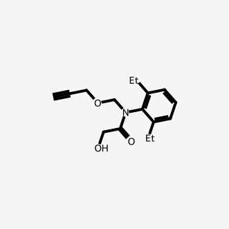 C#CCOCN(C(=O)CO)c1c(CC)cccc1CC